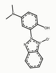 CN(C)c1ccc(O)c(-n2nc3ccccc3[n+]2[O-])c1